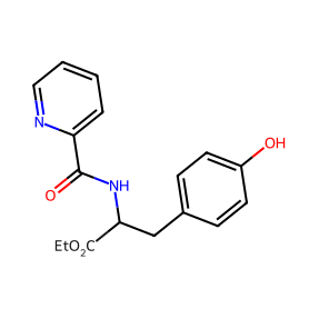 CCOC(=O)C(Cc1ccc(O)cc1)NC(=O)c1ccccn1